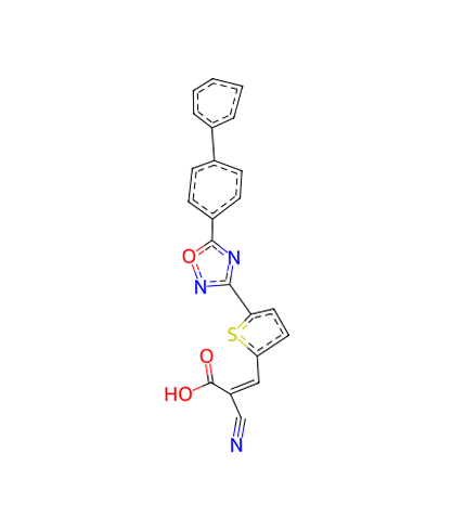 N#CC(=Cc1ccc(-c2noc(-c3ccc(-c4ccccc4)cc3)n2)s1)C(=O)O